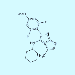 COc1cc(F)c(-c2nc3scc(C)n3c2NC2CCCCC2)c(F)c1